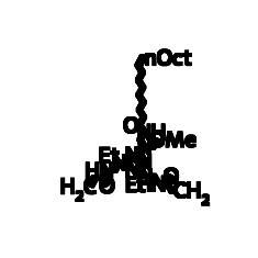 C=CC(=O)NCN(CC)c1nc(N(CC)CNC(=O)C=C)nc(N(CNC(=O)CCCCCCC/C=C\CCCCCCCC)COC)n1